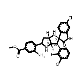 COC(=O)c1ccc(C2C[C@@H]3N[C@@]4(C(=O)Nc5cc(Cl)ccc54)[C@@H](c4cccc(Cl)c4F)[C@@H]3N2)c(N)c1